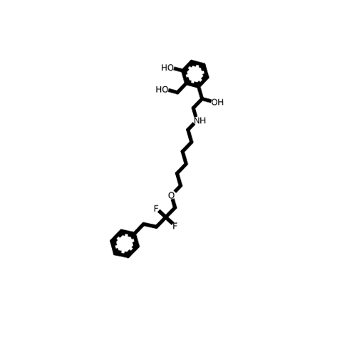 OCc1c(O)cccc1C(O)CNCCCCCCOCC(F)(F)CCc1ccccc1